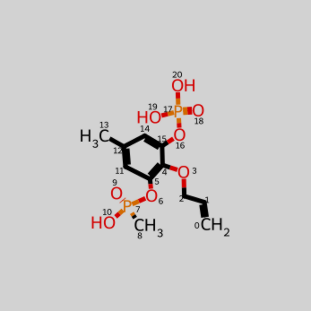 C=CCOc1c(OP(C)(=O)O)cc(C)cc1OP(=O)(O)O